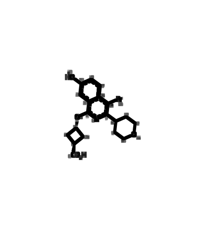 O=C(O)[C@H]1C[C@H](Oc2nc(C3CCOCC3)c(Br)c3ccc(O)cc23)C1